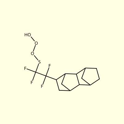 OOOSC(F)(F)C(F)(F)C1CC2CC1C1C3CCC(C3)C21